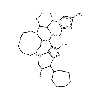 Cc1nc(C(F)(F)F)cn1C1CCNC(C2CCCCCCCCC2)C1NC(=O)c1c(N)nn2c1NCC(F)C2C1CCCCCC1